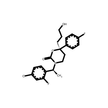 C[C@@H](c1ccc(Cl)cc1F)N1CC[C@](CCCO)(c2ccc(F)cc2)OC1=O